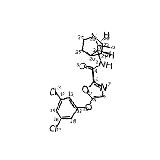 C[C@H]1[C@H](NC(=O)c2ncc(Oc3cc(Cl)cc(Cl)c3)o2)C2CCN1CC2